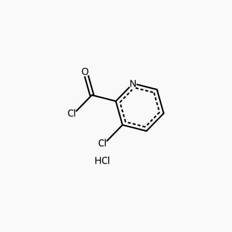 Cl.O=C(Cl)c1ncccc1Cl